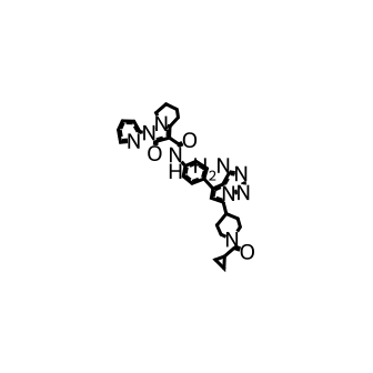 Nc1ncnn2c(C3CCN(C(=O)C4CC4)CC3)cc(-c3ccc(NC(=O)c4c5n(n(-c6ccccn6)c4=O)CCCC5)cc3)c12